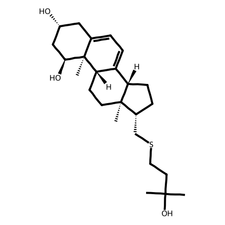 CC(C)(O)CCSC[C@H]1CC[C@H]2C3=CC=C4C[C@@H](O)C[C@H](O)[C@]4(C)[C@H]3CC[C@]12C